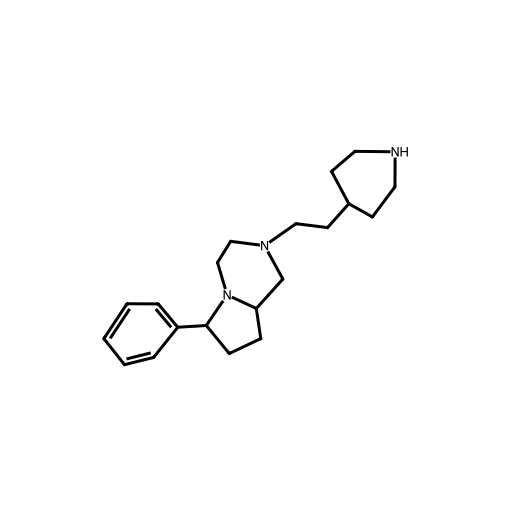 c1ccc(C2CCC3CN(CCC4CCNCC4)CCN32)cc1